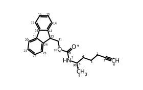 C#CCCC[C@@H](C)NC(=O)OCC1c2ccccc2-c2ccccc21